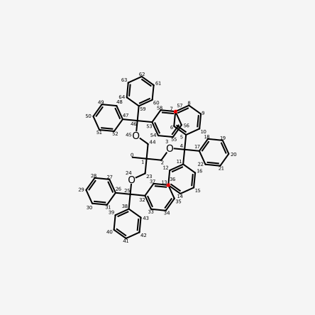 CC(COC(c1ccccc1)(c1ccccc1)c1ccccc1)(COC(c1ccccc1)(c1ccccc1)c1ccccc1)COC(c1ccccc1)(c1ccccc1)c1ccccc1